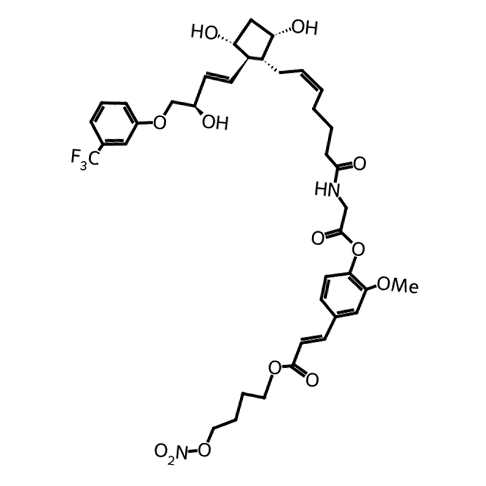 COc1cc(/C=C/C(=O)OCCCCO[N+](=O)[O-])ccc1OC(=O)CNC(=O)CCC/C=C\C[C@@H]1[C@@H](/C=C/[C@@H](O)COc2cccc(C(F)(F)F)c2)[C@H](O)C[C@@H]1O